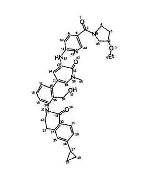 CCOC1CCN(C(=O)c2ccc(Nc3cc(-c4cccc(N5CCc6cc(C7CC7)ccc6C5=O)c4CO)cn(C)c3=O)nc2)C1